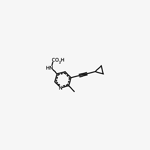 Cc1ncc(NC(=O)O)cc1C#CC1CC1